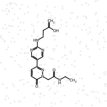 C=C(O)CCNc1ncc(-c2ccc(=O)n(CC(=O)NCC)n2)cn1